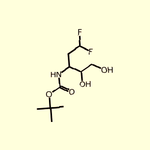 CC(C)(C)OC(=O)NC(CC(F)F)C(O)CO